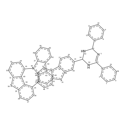 c1ccc(C2=NC(c3ccccc3)NC(c3ccc4c(c3)sc3cc(-c5cccc6sc7cccc(-n8c9ccccc9c9ccccc98)c7c56)ccc34)N2)cc1